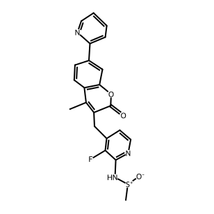 Cc1c(Cc2ccnc(N[S+](C)[O-])c2F)c(=O)oc2cc(-c3ccccn3)ccc12